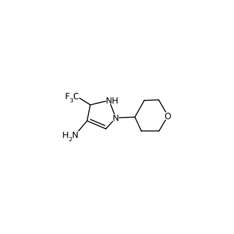 NC1=CN(C2CCOCC2)NC1C(F)(F)F